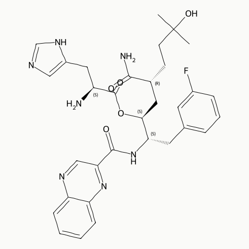 CC(C)(O)CC[C@H](C[C@H](OC(=O)[C@@H](N)Cc1cnc[nH]1)[C@H](Cc1cccc(F)c1)NC(=O)c1cnc2ccccc2n1)C(N)=O